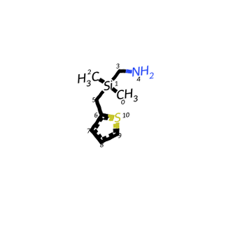 C[Si](C)(CN)Cc1cccs1